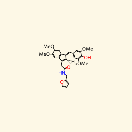 COc1cc2c(cc1OC)C(CC(=O)NCc1ccco1)=C(C)C2=Cc1cc(OC)c(O)c(OC)c1